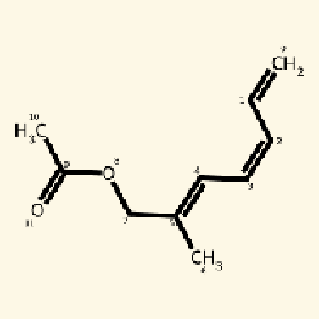 C=C/C=C\C=C(/C)COC(C)=O